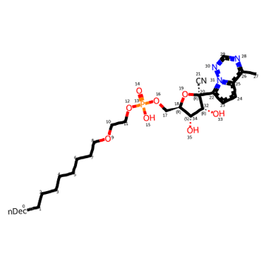 CCCCCCCCCCCCCCCCCCOCCOP(=O)(O)OC[C@H]1O[C@@](C#N)(c2ccc3c(C)ncnn23)[C@H](O)[C@@H]1O